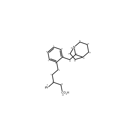 CC(C)C(CCc1ccccc1CC1C2CCCN1CC2)CC(=O)O